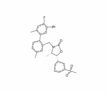 Cc1ccc(-c2cc(C(C)C)c(F)cc2C)c(CN2C(=O)O[C@H](c3cccc(S(C)(=O)=O)c3)[C@@H]2C)c1